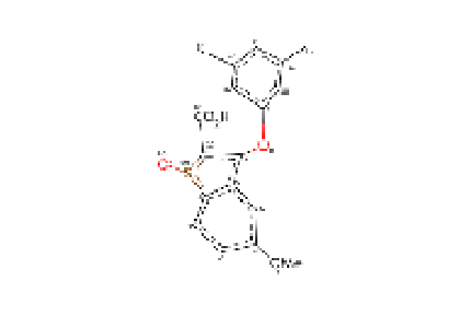 COc1ccc2c(c1)c(Oc1cc(C)cc(C)c1)c(C(=O)O)[s+]2[O-]